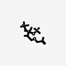 C=C(C)COCC(C)[Si](C)(O[Si](C)(C)C)O[Si](C)(C)C